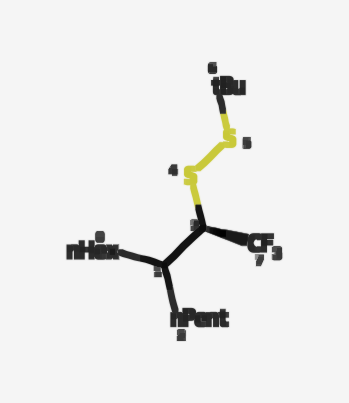 CCCCCCC(CCCCC)[C@@H](SSC(C)(C)C)C(F)(F)F